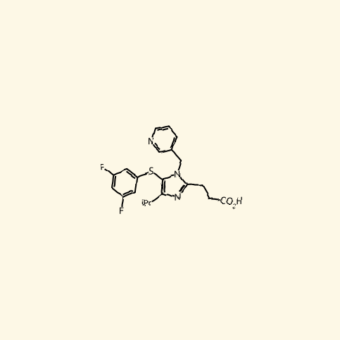 CC(C)c1nc(CCC(=O)O)n(Cc2cccnc2)c1Sc1cc(F)cc(F)c1